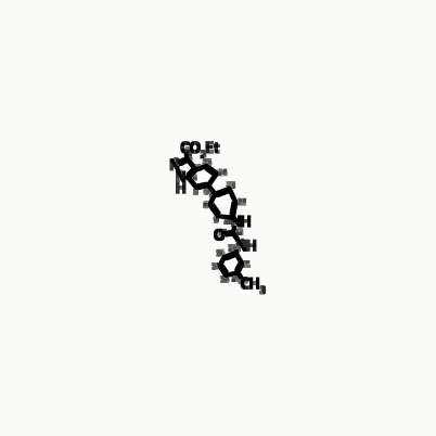 CCOC(=O)c1n[nH]c2cc(-c3ccc(NC(=O)Nc4cccc(C)c4)cc3)ccc12